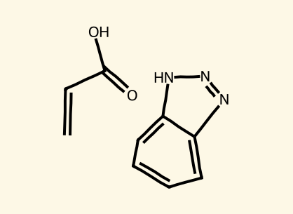 C=CC(=O)O.c1ccc2[nH]nnc2c1